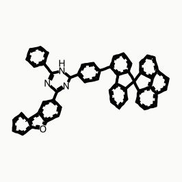 c1ccc(C2=NC(c3ccc4oc5ccccc5c4c3)=NC(c3ccc(-c4cccc5c4-c4ccccc4C54c5cccc6ccc7cccc4c7c56)cc3)N2)cc1